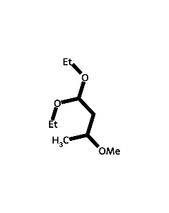 CCOC(CC(C)OC)OCC